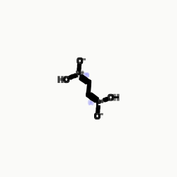 [O-]/[P+](O)=C/C=[P+](/[O-])O